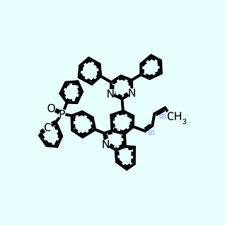 C/C=C\C=C/c1cc(-c2nc(-c3ccccc3)cc(-c3ccccc3)n2)cc2c(-c3ccc(P(=O)(c4ccccc4)c4ccccc4)cc3)nc3ccccc3c12